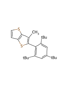 Cc1c(-c2c(C(C)(C)C)cc(C(C)(C)C)cc2C(C)(C)C)sc2ccsc12